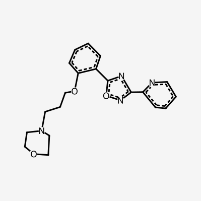 c1ccc(-c2noc(-c3ccccc3OCCCN3CCOCC3)n2)nc1